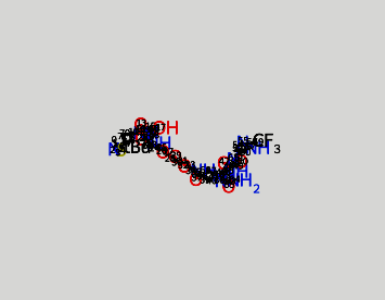 Cc1ncsc1-c1ccc(CNC(=O)[C@@H]2C[C@@H](O)CN2C(=O)[C@@H](NCCOCCOCCOCCNC(=O)C2CCC(n3cc(NC(=O)c4coc(-c5ccnc(NCC(F)(F)F)c5)n4)c(C(N)=O)n3)CC2)C(C)(C)C)cc1